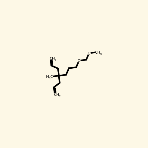 C=CCC(C)(CC=C)CCCOCOC